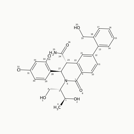 C[C@H](O)[C@H](CO)N1C(=O)c2ccc(-c3ccccc3CO)cc2[C@@H](C(N)=O)[C@@H]1c1ccc(Cl)cc1Cl